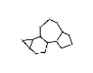 C1CC2CCCC3C(CCC4SC43)C2C1